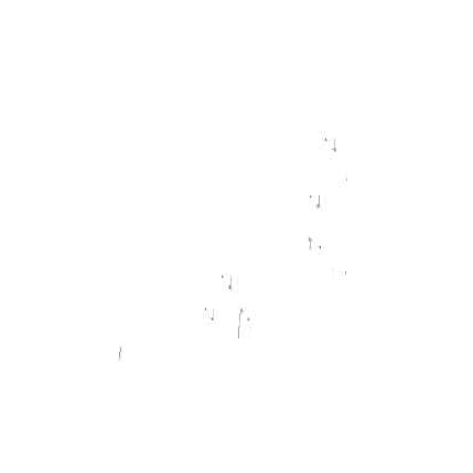 O=C(CN1CCN(C(=O)c2ccc(Nc3nccc(-c4ccc(I)cc4)n3)cc2)CC1)N1CCCC1